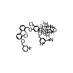 [2H]C([2H])([2H])C(NCc1cc(Cl)c(OCc2cccc(-c3cccc(OCC4CCCN(C)C4)c3Cl)c2C)cc1OCc1cncc(C#N)c1)(c1ncon1)C([2H])([2H])[2H]